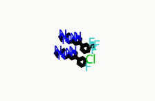 Cc1nccn1Cc1cc(-c2ccc(F)c(Cl)c2)cnn1.Cc1nccn1Cc1cc(-c2cccc(C(F)(F)F)c2)cnn1